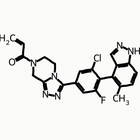 C=CC(=O)N1CCn2c(nnc2-c2cc(F)c(-c3c(C)ccc4[nH]ncc34)c(Cl)c2)C1